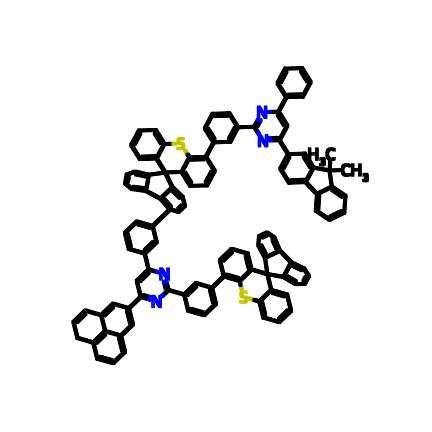 CC1(C)c2ccccc2-c2ccc(-c3cc(-c4ccccc4)nc(-c4cccc(-c5cccc6c5Sc5ccccc5C65c6ccccc6-c6c(-c7cccc(-c8cc(-c9cc%10c%11c(cccc%11c9)CC=C%10)nc(-c9cccc(-c%10cccc%11c%10Sc%10ccccc%10C%11%10c%11ccccc%11-c%11ccccc%11%10)c9)n8)c7)cccc65)c4)n3)cc21